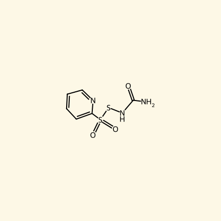 NC(=O)NSS(=O)(=O)c1ccccn1